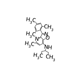 CCC(CC)Nc1cc(C)nc2c(-c3c(C)cc(C)cc3C)noc12